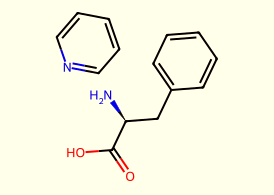 N[C@@H](Cc1ccccc1)C(=O)O.c1ccncc1